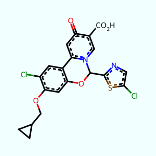 O=C(O)c1cn2c(cc1=O)-c1cc(Cl)c(OCC3CC3)cc1OC2c1ncc(Cl)s1